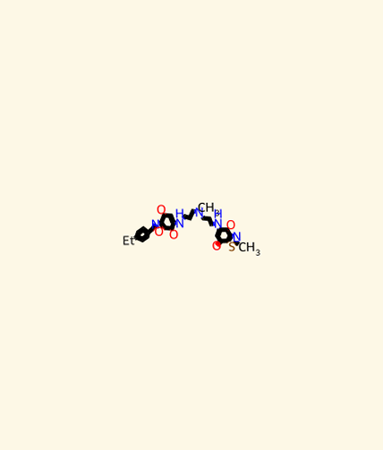 CCc1ccc(-c2nc3c(o2)C(=O)C(NCCCN(C)CCCNC2=CC(=O)c4sc(C)nc4C2=O)=CC3=O)cc1